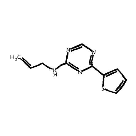 C=CCNc1ncnc(-c2cccs2)n1